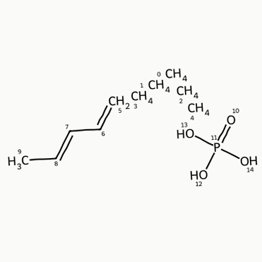 C.C.C.C.C.C=CC=CC.O=P(O)(O)O